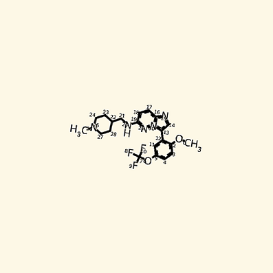 COc1ccc(OC(F)(F)F)cc1-c1cnc2ccc(NCC3CCN(C)CC3)nn12